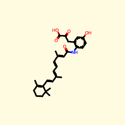 CC(C=CC1=C(C)CCCC1(C)C)=CC=CC(C)=CC(=O)Nc1ccc(O)cc1CC(=O)C(=O)O